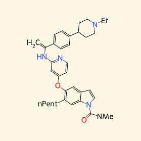 C=C(Nc1cc(Oc2cc3ccn(C(=O)NC)c3cc2CCCCC)ccn1)c1ccc(C2CCN(CC)CC2)cc1